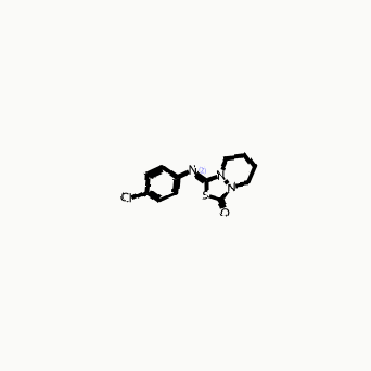 O=c1s/c(=N\c2ccc(Cl)cc2)n2n1CCCC2